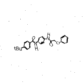 CC(C)(C)c1ccc(C(=O)Nc2ccc(NC(=O)COc3ccccc3)cc2)cc1